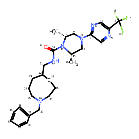 C[C@@H]1CN(c2cnc(C(F)(F)F)cn2)C[C@H](C)N1C(=O)NCC1CCCN(Cc2ccccc2)CCC1